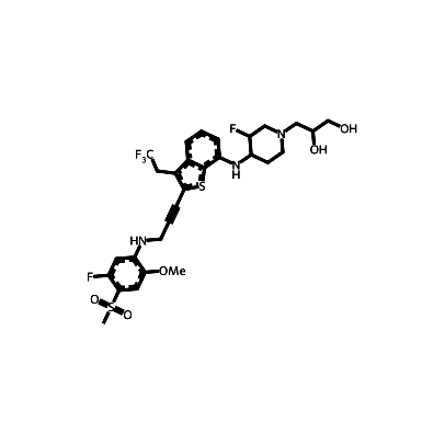 COc1cc(S(C)(=O)=O)c(F)cc1NCC#Cc1sc2c(NC3CCN(CC(O)CO)CC3F)cccc2c1CC(F)(F)F